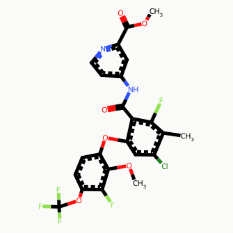 COC(=O)c1cc(NC(=O)c2c(Oc3ccc(OC(F)(F)F)c(F)c3OC)cc(Cl)c(C)c2F)ccn1